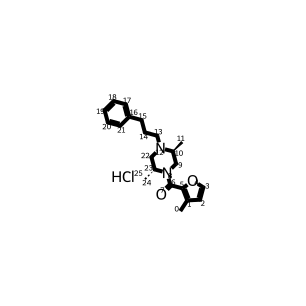 Cc1ccoc1C(=O)N1C[C@H](C)N(CCCc2ccccc2)C[C@H]1C.Cl